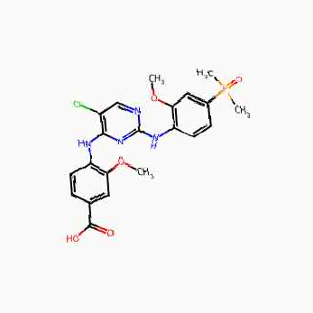 COc1cc(P(C)(C)=O)ccc1Nc1ncc(Cl)c(Nc2ccc(C(=O)O)cc2OC)n1